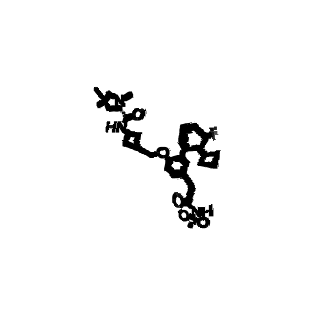 CN1CC(C)(C)C[C@H]1C(=O)NC1CC(COc2ccc(CC(=O)NS(C)(=O)=O)cc2-c2cccc(F)c2C2CCC2)C1